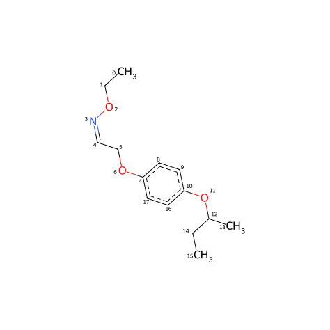 CCO/N=C\COc1ccc(OC(C)CC)cc1